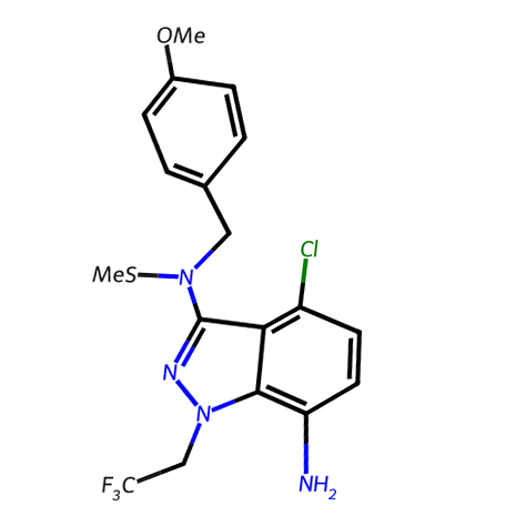 COc1ccc(CN(SC)c2nn(CC(F)(F)F)c3c(N)ccc(Cl)c23)cc1